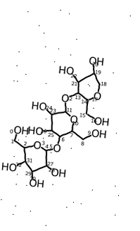 OCC1OC(OC2C(CO)OC(OC3C(CO)OCC(O)C3O)C(O)C2O)C(O)C(O)C1O